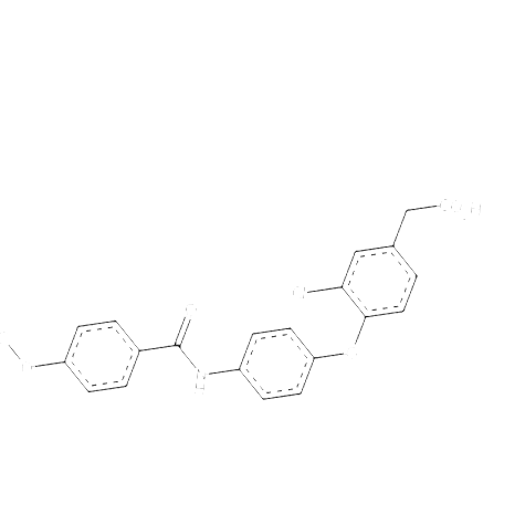 O=C(O)Cc1ccc(Oc2ccc(NC(=O)c3ccc(OC(F)(F)F)cc3)cc2)c(Cl)c1